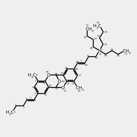 CCC/C=C/c1cc(C)c2c(c1)C1Oc3c(C)cc(/C=C/CC[N+](CCCC)(CCCC)CCCC)cc3C(O2)O1